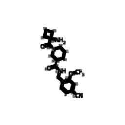 N#Cc1ccc(CNC(=O)[C@@H]2CCCN(C(=O)C3(N)CCC3)C2)c(OC(F)(F)F)c1